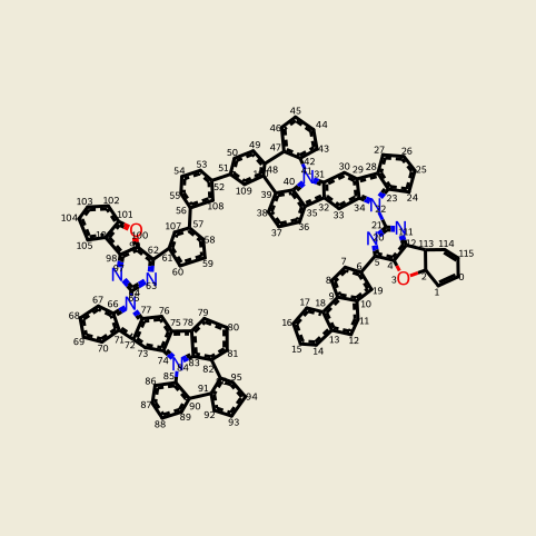 C1=CC2Oc3c(-c4ccc5c(ccc6ccccc65)c4)nc(-n4c5ccccc5c5cc6c(cc54)c4cccc5c4n6-c4ccccc4-c4ccc(-c6cccc(-c7cccc(-c8nc(-n9c%10ccccc%10c%10cc%11c(cc%109)c9cccc%10c9n%11-c9ccccc9-c9ccccc9-%10)nc9c8oc8ccccc89)c7)c6)cc4-5)nc3C2C=C1